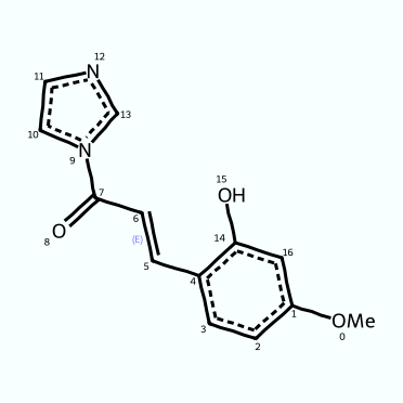 COc1ccc(/C=C/C(=O)n2ccnc2)c(O)c1